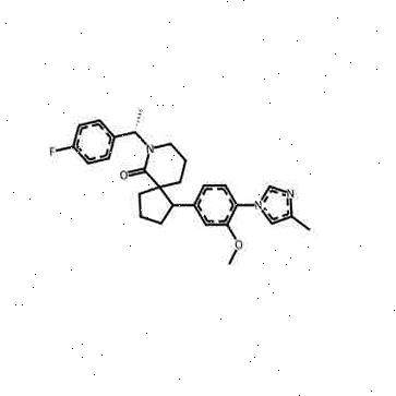 COc1cc(C2CCCC23CCCN([C@@H](C)c2ccc(F)cc2)C3=O)ccc1-n1cnc(C)c1